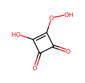 O=c1c(O)c(OO)c1=O